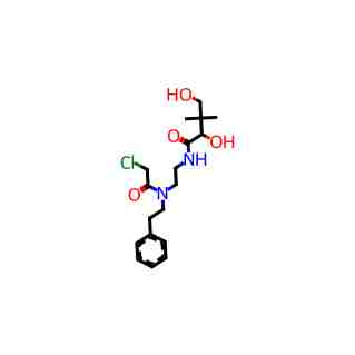 CC(C)(CO)C(O)C(=O)NCCN(CCc1ccccc1)C(=O)CCl